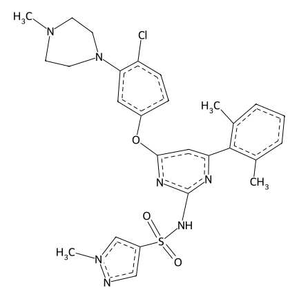 Cc1cccc(C)c1-c1cc(Oc2ccc(Cl)c(N3CCN(C)CC3)c2)nc(NS(=O)(=O)c2cnn(C)c2)n1